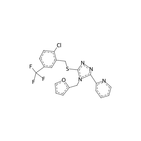 FC(F)(F)c1ccc(Cl)c(CSc2nnc(-c3ccccn3)n2Cc2ccco2)c1